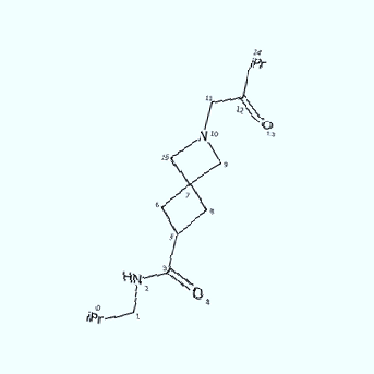 CC(C)CNC(=O)C1CC2(C1)CN(CC(=O)C(C)C)C2